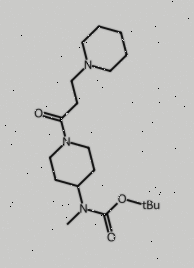 CN(C(=O)OC(C)(C)C)C1CCN(C(=O)CCN2CCCCC2)CC1